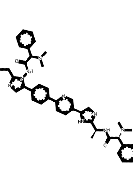 CCc1ncc(-c2ccc(-c3ccc(-c4cnc([C@H](C)NC(=O)[C@@H](c5ccccc5)N(C)C)[nH]4)cn3)cc2)n1NC(=O)C(c1ccccc1)N(C)C